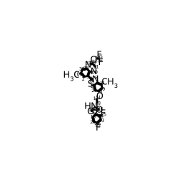 Cc1cc(-c2nc3c(C)cc(OCCNS(=O)(=O)c4ccc(F)cc4F)cc3s2)c2ncc(OC(F)F)nc2c1